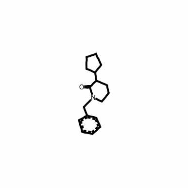 O=C1C(C2CCCC2)CCCN1Cc1ccccc1